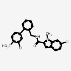 Cn1c(C(=O)NCc2ccccc2-c2ccc(C(=O)O)c(Cl)c2)cc2ccc(Cl)cc21